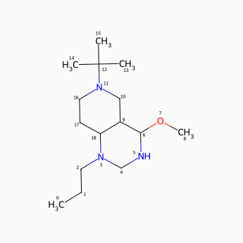 CCCN1CNC(OC)C2CN(C(C)(C)C)CCC21